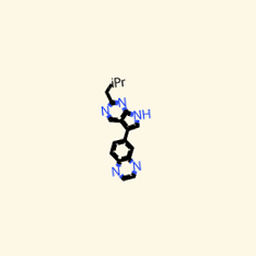 CC(C)Cc1ncc2c(-c3ccc4nccnc4c3)c[nH]c2n1